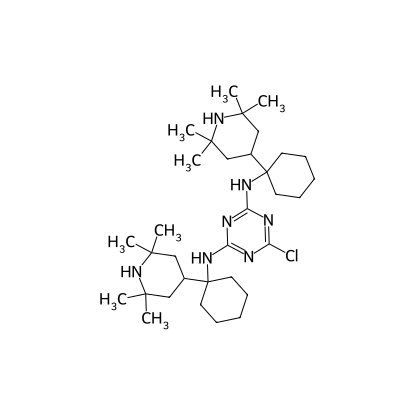 CC1(C)CC(C2(Nc3nc(Cl)nc(NC4(C5CC(C)(C)NC(C)(C)C5)CCCCC4)n3)CCCCC2)CC(C)(C)N1